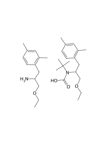 CCOCC(Cc1ccc(C)cc1C)N(C(=O)O)C(C)(C)C.CCOCC(N)Cc1ccc(C)cc1C